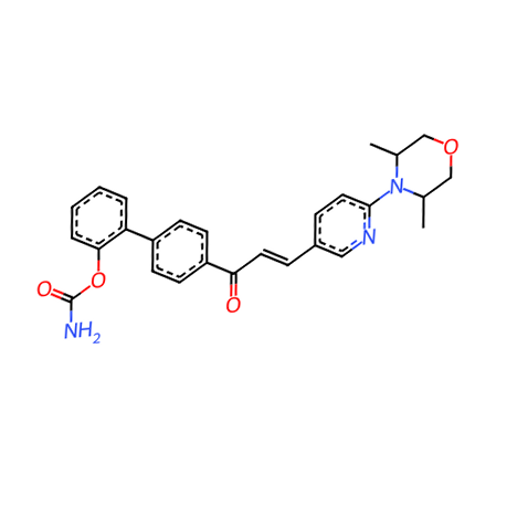 CC1COCC(C)N1c1ccc(C=CC(=O)c2ccc(-c3ccccc3OC(N)=O)cc2)cn1